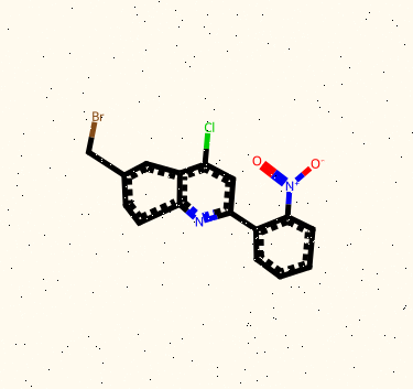 O=[N+]([O-])c1ccccc1-c1cc(Cl)c2cc(CBr)ccc2n1